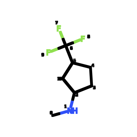 CNC1CCC(C(F)(F)F)C1